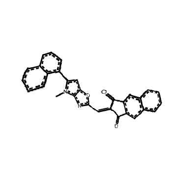 Cn1c(-c2cccc3ccccc23)cc2oc(C=C3C(=O)c4cc5ccccc5cc4C3=O)nc21